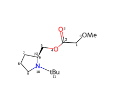 COCC(=O)OC[C@@H]1CCCN1C(C)(C)C